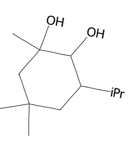 CC(C)C1CC(C)(C)CC(C)(O)C1O